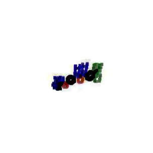 Cn1ccc2c(Oc3ccc(NC(=O)Nc4ccc(Cl)c(C(F)(F)F)c4)cc3)ncnc21